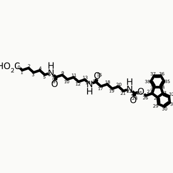 O=C(O)CCCCCNC(=O)CCCCCNC(=O)CCCCCNC(=O)OCC1c2ccccc2-c2ccccc21